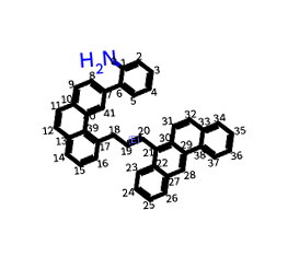 Nc1ccccc1-c1ccc2ccc3cccc(C/C=C/c4c5ccccc5cc5c4ccc4ccccc45)c3c2c1